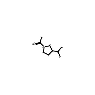 CC(=N)N1CCC(C(C)C)C1